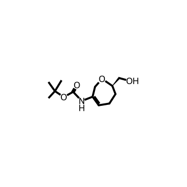 CC(C)(C)OC(=O)NC1=CCC[C@H](CO)OC1